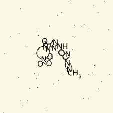 CN1CCN(c2cnc3cc(Nc4ncc5c(=O)n6n(c5n4)-c4ccc5c(c4)N(CCC/C=C\C6)C(=O)CO5)ccc3c2)CC1